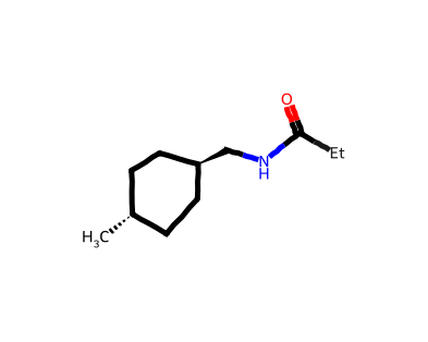 CCC(=O)NC[C@H]1CC[C@H](C)CC1